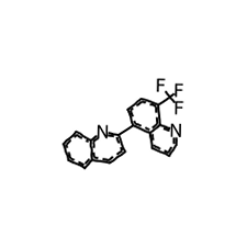 FC(F)(F)c1ccc(-c2ccc3ccccc3n2)c2cccnc12